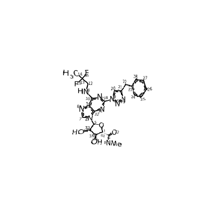 CNC(=O)[C@H]1OC(n2cnc3c(NCC(C)(F)F)nc(-n4cc(Cc5ccccc5)nn4)nc32)[C@H](O)[C@@H]1O